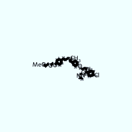 COCCOCOc1ccc(/C=C/CN(C)Cc2ccc(OC[C@@H]3CO[C@@](Cn4ccnc4)(c4ccc(Cl)cc4Cl)O3)cc2)cc1